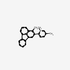 Cc1ccc(-c2cc3c4c(cccc4c2C)-c2ccccc2-3)[n+](C)c1